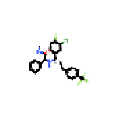 CNC(=O)C(N[C@@H](CCc1ccc(C(F)(F)F)cc1)c1ccc(F)c(Cl)c1)c1ccccc1